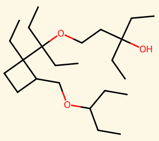 CCC(CC)OCC1CCC1(CC)C(CC)(CC)OCCC(O)(CC)CC